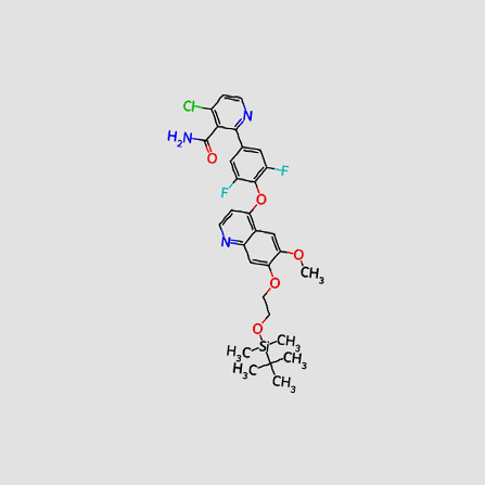 COc1cc2c(Oc3c(F)cc(-c4nccc(Cl)c4C(N)=O)cc3F)ccnc2cc1OCCO[Si](C)(C)C(C)(C)C